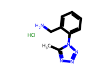 Cc1nnnn1-c1ccccc1CN.Cl